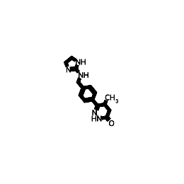 CC1CC(=O)NN=C1c1ccc(CNC2=NCCN2)cc1